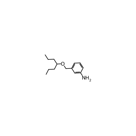 CCCC(CCC)OCc1cccc(N)c1